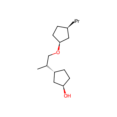 CC(C)[C@@H]1CC[C@H](OCC(C)[C@@H]2CC[C@@H](O)C2)C1